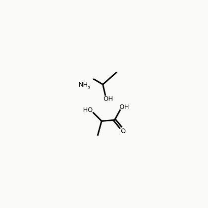 CC(C)O.CC(O)C(=O)O.N